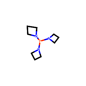 C1CN(P(N2CCC2)N2CCC2)C1